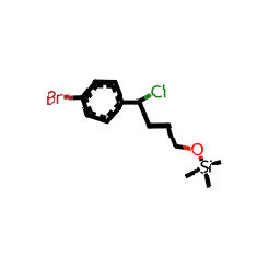 C[Si](C)(C)OCCCC(Cl)c1ccc(Br)cc1